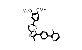 COc1ccc(-c2ccc3nc(C)c(-c4ccc(-c5ncccc5C)cc4)n3n2)cc1OC